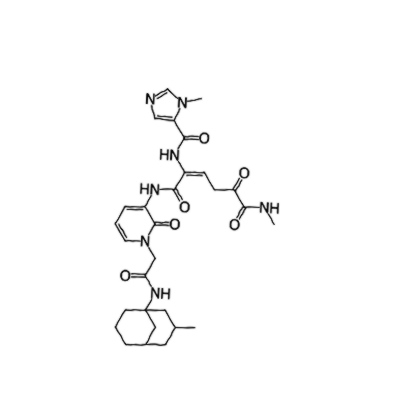 CNC(=O)C(=O)C/C=C(/NC(=O)c1cncn1C)C(=O)Nc1cccn(CC(=O)NC23CCCC(CC(C)C2)C3)c1=O